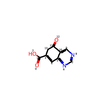 O=C(O)C1=Cc2ncncc2C(=O)C1